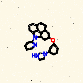 C1=CN(c2cccc(Oc3cc4ccc5cccc6c5c4c(c3)n6-c3ccccn3)c2)CN1